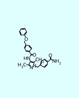 Cc1nn(Cc2ccc(C(N)=O)cc2)c(C)c1NC(=O)c1ccc(COc2ccccc2)cc1